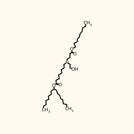 CCCCCCCCCCOC(=O)CCCN(CCO)CCCCCCCC(=O)OC(CCCCCCCC)CCCCCCCC